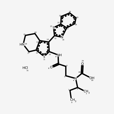 CCC(C)N(CCC(=O)Nc1sc2c(c1-c1nc3ccccc3s1)CCNC2)C(=O)O.Cl